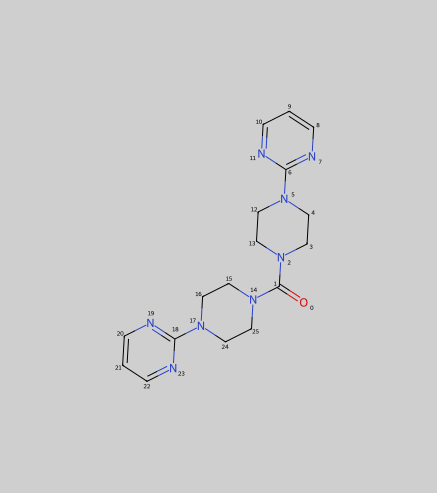 O=C(N1CCN(c2ncccn2)CC1)N1CCN(c2ncccn2)CC1